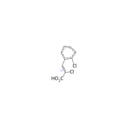 O=C(O)/C(Cl)=C/c1ccccc1Cl